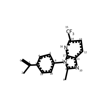 C=C(C)c1ccc(-n2c(C)nc3ccc(C(F)(F)F)nc32)cc1